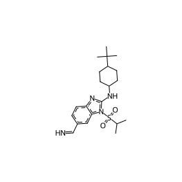 CC(C)S(=O)(=O)n1c(NC2CCC(C(C)(C)C)CC2)nc2ccc(C=N)cc21